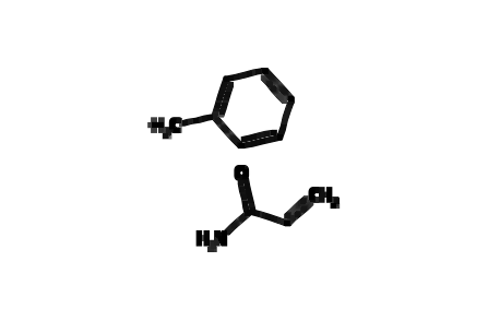 C=CC(N)=O.[CH2]c1ccccc1